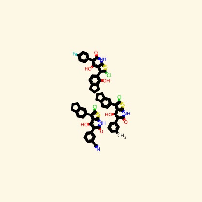 Cc1cccc(-c2c(O)c3c(-c4ccc5c(c4)CCC5)c(Cl)sc3[nH]c2=O)c1.N#Cc1cccc(-c2c(O)c3c(-c4ccc5c(c4)CCC5)c(Cl)sc3[nH]c2=O)c1.O=c1[nH]c2sc(Cl)c(-c3ccc4c(c3O)CCC4)c2c(O)c1-c1ccc(F)cc1